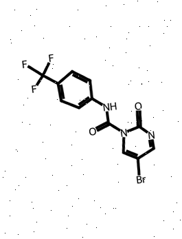 O=C(Nc1ccc(C(F)(F)F)cc1)n1cc(Br)cnc1=O